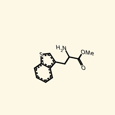 COC(=O)C(N)Cc1csc2ccccc12